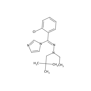 CCN(CC(C)(C)C)N=C(c1ccccc1Cl)n1ccnc1